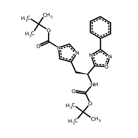 CC(C)(C)OC(=O)N[C@@H](Cc1cn(C(=O)OC(C)(C)C)cn1)c1nc(-c2ccccc2)no1